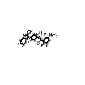 Nc1cc(F)c(F)c(C(=O)Nc2ccc(-n3c(C(F)(F)F)nc4ccccc43)cc2)c1F